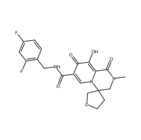 CN1CC2(CCOC2)n2cc(C(=O)NCc3ccc(F)cc3F)c(=O)c(O)c2C1=O